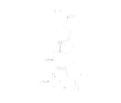 CC(=O)OCC1C[C@H](SC2=C(C(=O)O)N3C(=O)C[C@@H]3C2C(C)O)CN1